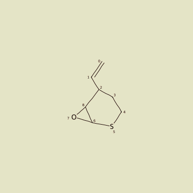 C=CC1CCSC2OC12